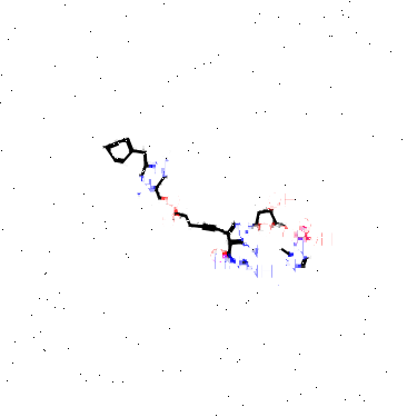 Cc1nccn1P(=O)(O)OC[C@H]1O[C@@H](n2cc(C#CCCC(=O)OCC3CN(C)C(Cc4ccccc4)CN3C)c3c(=O)[nH]c(N)nc32)CC1O